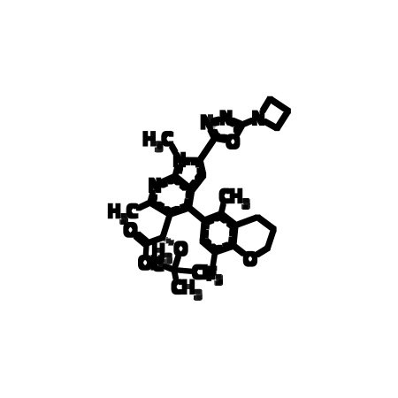 Cc1nc2c(cc(-c3nnc(N4CCC4)o3)n2C)c(-c2cc(F)c3c(c2C)CCCO3)c1[C@H](OC(C)(C)C)C(=O)O